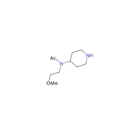 COCCN(C(C)=O)C1CCNCC1